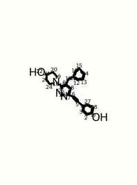 Oc1ccc(C#Cc2cc(Cc3ccccc3)c(N3CCC(O)CC3)nn2)cc1